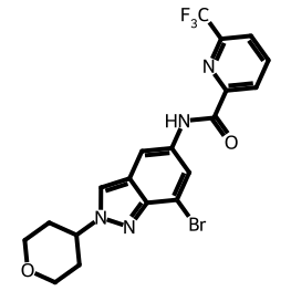 O=C(Nc1cc(Br)c2nn(C3CCOCC3)cc2c1)c1cccc(C(F)(F)F)n1